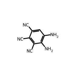 N#Cc1cc(N)c(N)c(C#N)c1C#N